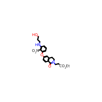 CCOC(=O)CCN1CCc2cc(Oc3cccc(NCCCO)c3[N+](=O)[O-])ccc2C1=O